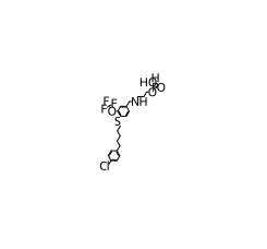 O=[PH](O)OCCCNCc1ccc(SCCCCCc2ccc(Cl)cc2)c(OC(F)(F)F)c1